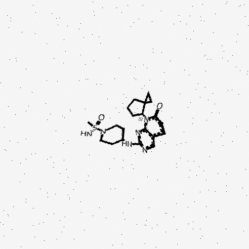 CS(=N)(=O)N1CCC(Nc2ncc3ccc(=O)n([C@H]4CCCC45CC5)c3n2)CC1